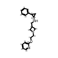 c1ccc(C2C[C@H]2NCC2CN(CCOc3ccccn3)C2)cc1